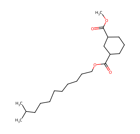 COC(=O)C1CCCC(C(=O)OCCCCCCCCCC(C)C)C1